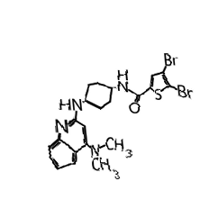 CN(C)c1cc(N[C@H]2CC[C@@H](NC(=O)c3cc(Br)c(Br)s3)CC2)nc2ccccc12